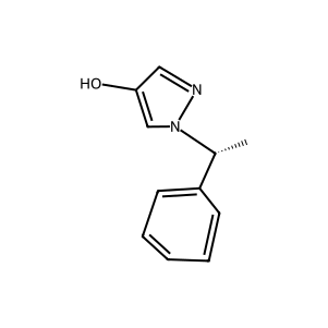 C[C@H](c1ccccc1)n1cc(O)cn1